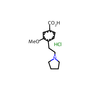 COc1cc(C(=O)O)ccc1CCN1CCCC1.Cl